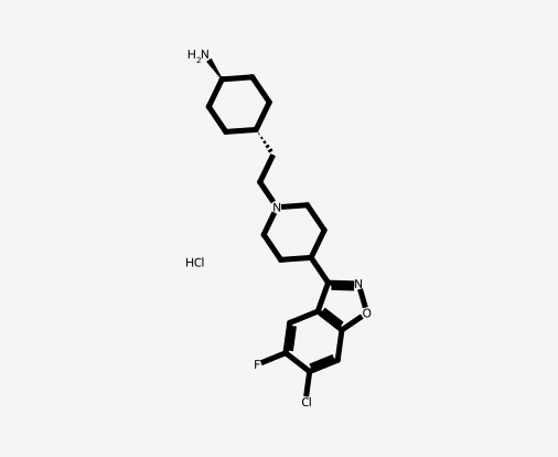 Cl.N[C@H]1CC[C@H](CCN2CCC(c3noc4cc(Cl)c(F)cc34)CC2)CC1